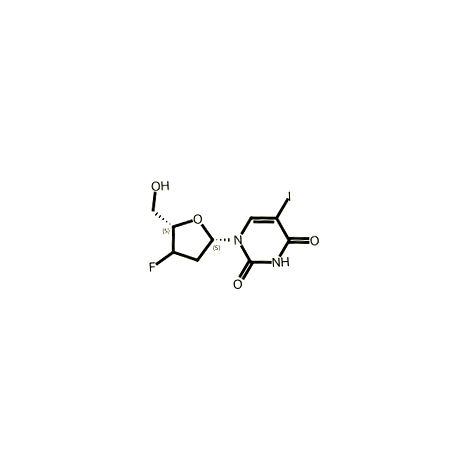 O=c1[nH]c(=O)n([C@@H]2CC(F)[C@H](CO)O2)cc1I